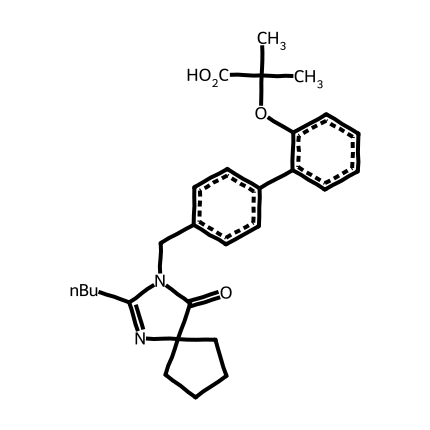 CCCCC1=NC2(CCCC2)C(=O)N1Cc1ccc(-c2ccccc2OC(C)(C)C(=O)O)cc1